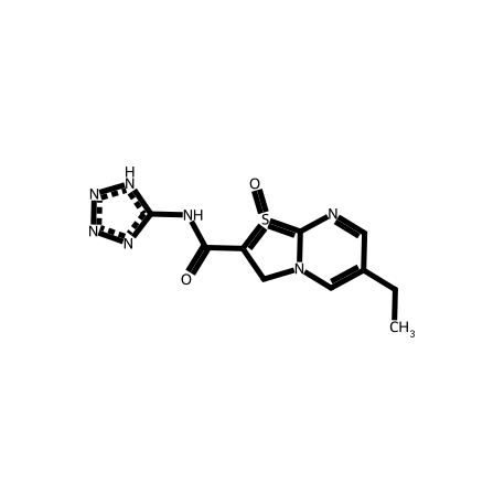 CCC1=CN2CC(C(=O)Nc3nnn[nH]3)=S(=O)=C2N=C1